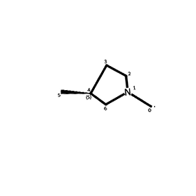 [CH2]N1CC[C@H](C)C1